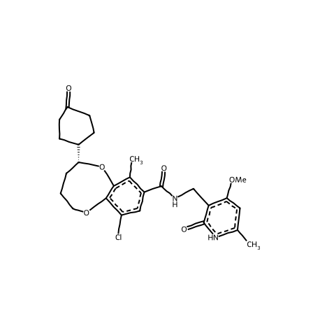 COc1cc(C)[nH]c(=O)c1CNC(=O)c1cc(Cl)c2c(c1C)O[C@@H](C1CCC(=O)CC1)CCCO2